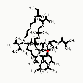 CCC(=O)SCCSCCOP(N(C(C)C)C(C)C)N(C(C)C)C(C)CCC(C)N(C(C)C)P(OC(C)(C)CSC(C)(C)CSC(=O)C(C)C)N(C(C)C)C(C)CCC(C)N(C(C)C)P(OCC(C)(C)SC(C)(C)CSC(=O)C(C)C)N(C(C)C)C(C)C